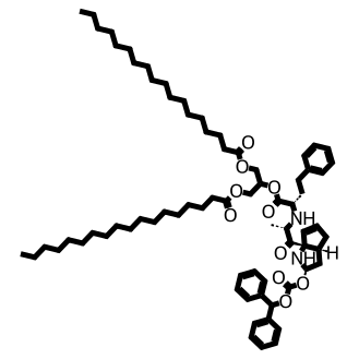 CCCCCCCCCCCCCCCCCC(=O)OCC(COC(=O)CCCCCCCCCCCCCCCCC)OC(=O)[C@H](CCc1ccccc1)N[C@@H](C)C(=O)[C@@]12C=CC[C@H]1C[C@H](OC(=O)OC(c1ccccc1)c1ccccc1)N2